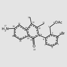 CC(=O)OCc1c(Br)cccc1-n1c(C)c(C)c2cc(N)ccc2c1=O